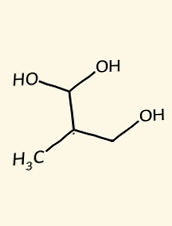 C[C](CO)C(O)O